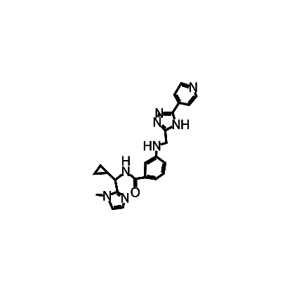 Cn1ccnc1C(NC(=O)c1cccc(NCc2nnc(-c3ccncc3)[nH]2)c1)C1CC1